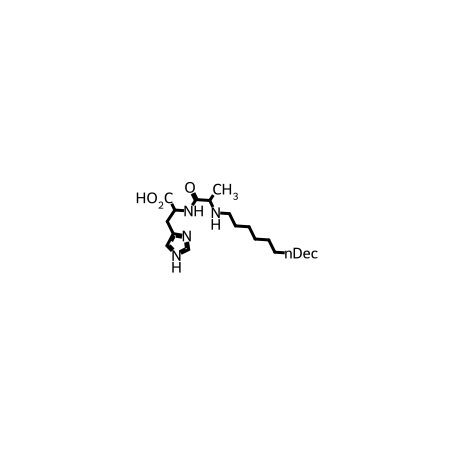 CCCCCCCCCCCCCCCCNC(C)C(=O)NC(Cc1c[nH]cn1)C(=O)O